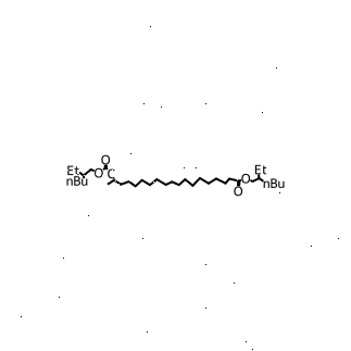 CCCCC(CC)COC(=O)CCCCCCCCCCCCCCCCC(C)CC(=O)OCC(CC)CCCC